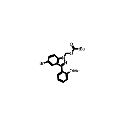 COc1ccccc1-c1nn(COC(=O)C(C)(C)C)c2ccc(Br)cc12